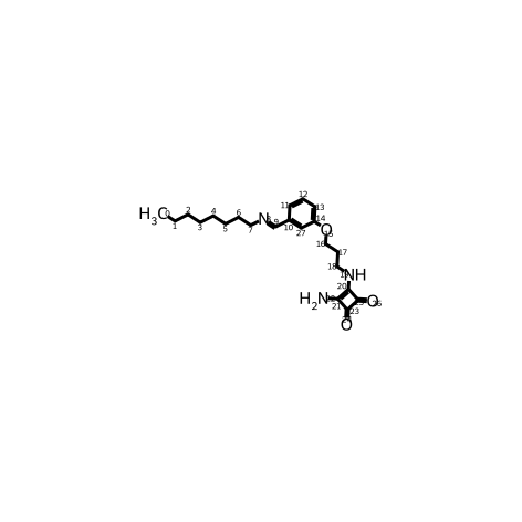 CCCCCCCCN=Cc1cccc(OCCCNc2c(N)c(=O)c2=O)c1